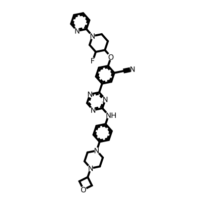 N#Cc1cc(-c2ncnc(Nc3ccc(N4CCN(C5COC5)CC4)cc3)n2)ccc1OC1CCN(c2ccccn2)CC1F